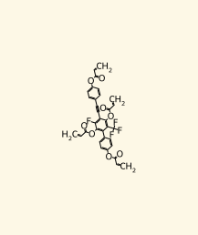 C=CC(=O)Oc1ccc(C#Cc2c(F)c(OC(=O)C=C)c(-c3ccc(OC(=O)C=C)cc3)c(C(F)(F)F)c2OC(=O)C=C)cc1